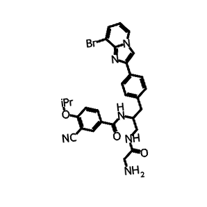 CC(C)Oc1ccc(C(=O)NC(CNC(=O)CN)Cc2ccc(-c3cn4cccc(Br)c4n3)cc2)cc1C#N